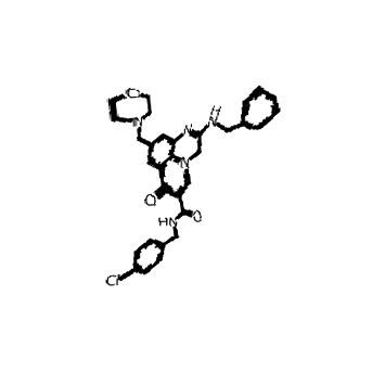 O=C(NCc1ccc(Cl)cc1)c1cn2c3c(cc(CN4CCOCC4)cc3c1=O)N=C(NCc1ccccc1)C2